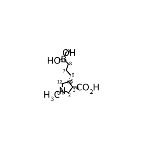 CN1CC(C(=O)O)[C@@H](CCCB(O)O)C1